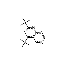 CC(C)(C)c1nc(C(C)(C)C)c2cncnc2n1